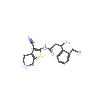 CCc1ccccc1C(C)CC(=O)Nc1sc2c(c1C#N)CCNC2